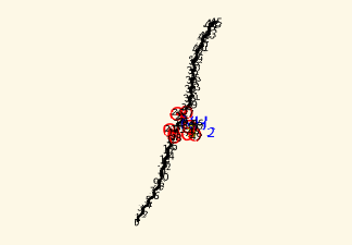 CCCCCCCCCCCCCCCCCCOC(=O)CCC(N)C(=O)OCCCCCCCCCCCCCCCCCC.CCS(=O)(=O)O